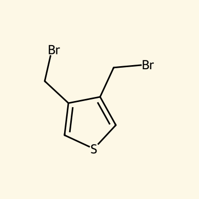 BrCc1cscc1CBr